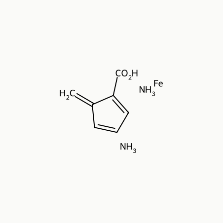 C=C1C=CC=C1C(=O)O.N.N.[Fe]